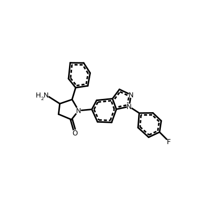 NC1CC(=O)N(c2ccc3c(cnn3-c3ccc(F)cc3)c2)C1c1ccccc1